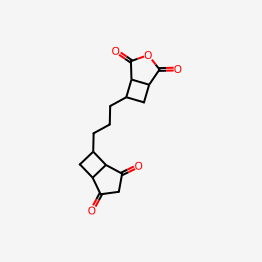 O=C1CC(=O)C2C(CCCC3CC4C(=O)OC(=O)C34)CC12